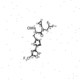 CON(Cc1ccc(-c2noc(C(F)(F)F)n2)s1)C(=O)N(CC(F)F)C1CC1